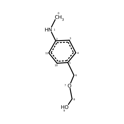 CNc1ccc(COCO)cc1